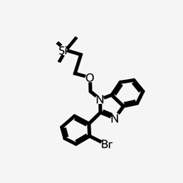 C[Si](C)(C)CCOCn1c(-c2ccccc2Br)nc2ccccc21